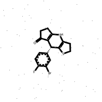 O=C1CCC2=C1[C@@H](c1ccc(F)c(Br)c1)C1=C(CCS1)N2